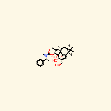 CC1=C[C@]23C(=O)[C@@H](C=C(CO)[C@@H](O)[C@]2(O)[C@H]1OC(=O)N(C)[C@@H](C)c1ccccc1)[C@H]1[C@@H](C[C@H]3C)C1(C)C